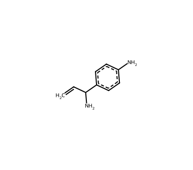 C=CC(N)c1ccc(N)cc1